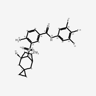 C[C@H]1C[C@H]2CC3(CC3)CC1C2S(=O)(=O)c1cc(C(=O)Nc2cc(F)c(F)c(F)c2)ccc1N